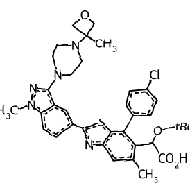 Cc1cc2nc(-c3ccc4c(c3)c(N3CCN(C5(C)COC5)CC3)nn4C)sc2c(-c2ccc(Cl)cc2)c1C(OC(C)(C)C)C(=O)O